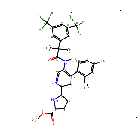 COC(=O)[C@H]1CC[C@H](C2CC(c3ccc(F)cc3C)=C(N(C)C(=O)C(C)(C)c3cc(C(F)(F)F)cc(C(F)(F)F)c3)C=N2)N1